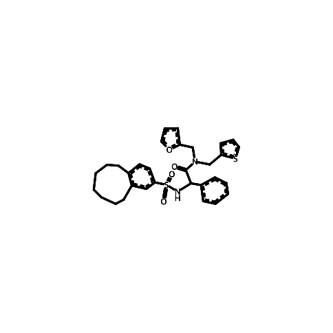 O=C(C(NS(=O)(=O)c1ccc2c(c1)CCCCCCC2)c1ccccc1)N(Cc1ccco1)Cc1cccs1